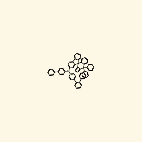 c1ccc(-c2ccc(N(c3ccc(-c4ccccc4-c4ccccc4)cc3)c3ccc4c(c3)C3(c5ccccc5-4)c4ccccc4C(c4ccccc4)(c4ccccc4)c4ccccc43)cc2)cc1